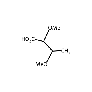 COC(C)C(OC)C(=O)O